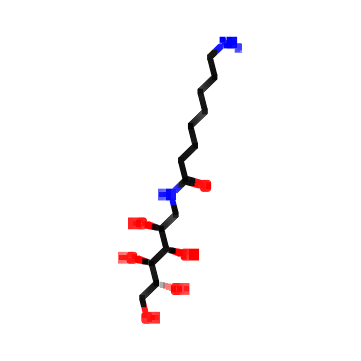 NCCCCCCCC(=O)NC[C@H](O)[C@@H](O)[C@H](O)[C@H](O)CO